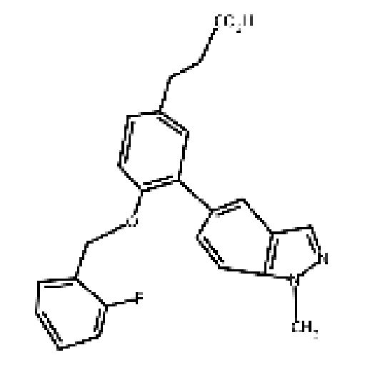 Cn1ncc2cc(-c3cc(CCC(=O)O)ccc3OCc3ccccc3F)ccc21